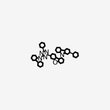 c1ccc(-c2ccc3c4ccccc4n(-c4cccc5oc6cc(-c7nc(-c8ccccc8)nc(-n8c9ccccc9c9ccccc98)n7)ccc6c45)c3c2)cc1